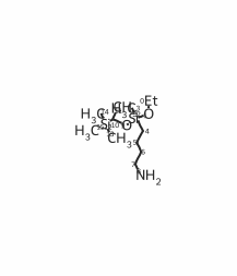 CCO[Si](C)(CCCCN)OC(C)[Si](C)(C)C